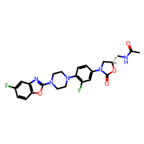 CC(=O)NC[C@H]1CN(c2ccc(N3CCN(c4nc5cc(F)ccc5o4)CC3)c(F)c2)C(=O)O1